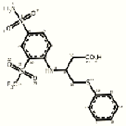 NS(=O)(=O)c1ccc(NC(CSc2ccccc2)CC(=O)O)c(S(=O)(=O)C(F)(F)F)c1